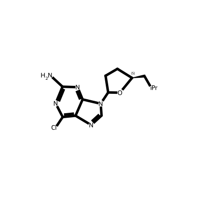 CC(C)C[C@@H]1CCC(n2cnc3c(Cl)nc(N)nc32)O1